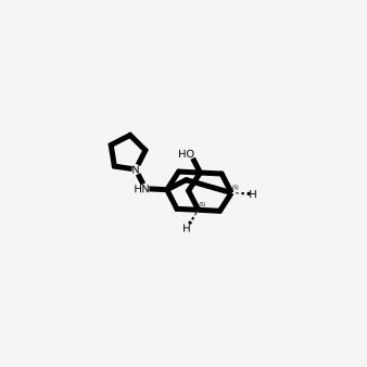 OC12C[C@H]3C[C@H](C1)CC(NN1CCCC1)(C3)C2